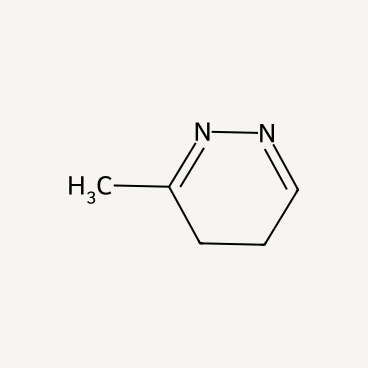 CC1=NN=CCC1